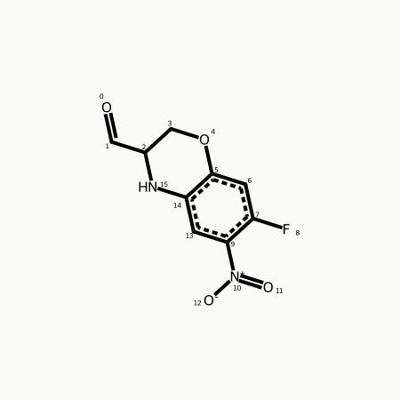 O=CC1COc2cc(F)c([N+](=O)[O-])cc2N1